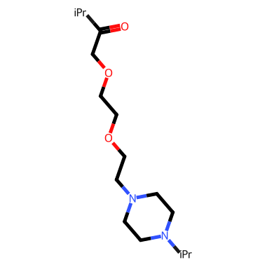 CC(C)C(=O)COCCOCCN1CCN(C(C)C)CC1